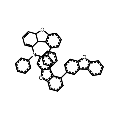 C1=CC2Oc3cccc(-c4ccc5oc6cccc(-c7ccc8oc9ccccc9c8c7)c6c5c4)c3C2C(N(c2ccccc2)c2ccccc2)=C1